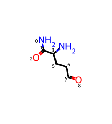 NC(=O)C(N)CC[C]=O